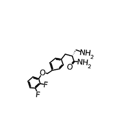 NC[C@@H](Cc1ccc(COc2cccc(F)c2F)cc1)C(N)=O